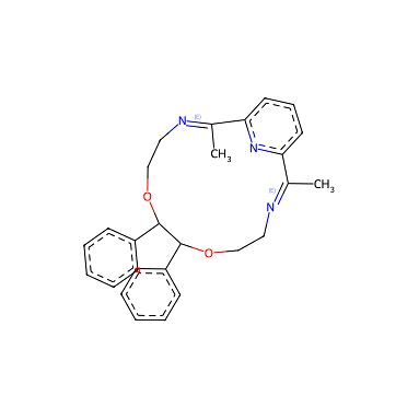 C/C1=N\CCOC(c2ccccc2)C(c2ccccc2)OCC/N=C(\C)c2cccc1n2